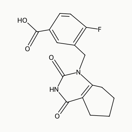 O=C(O)c1ccc(F)c(Cn2c3c(c(=O)[nH]c2=O)CCCC3)c1